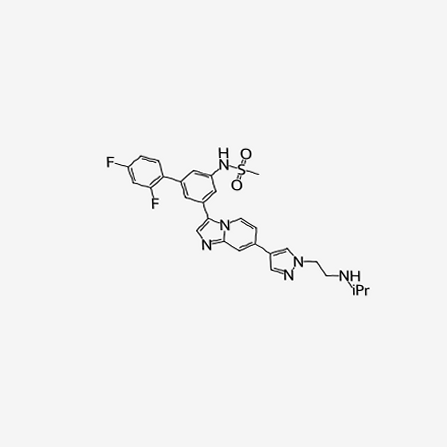 CC(C)NCCn1cc(-c2ccn3c(-c4cc(NS(C)(=O)=O)cc(-c5ccc(F)cc5F)c4)cnc3c2)cn1